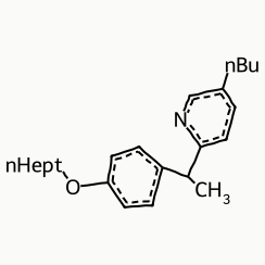 CCCCCCCOc1ccc(C(C)c2ccc(CCCC)cn2)cc1